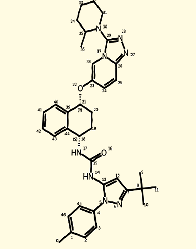 Cc1ccc(-n2nc(C(C)(C)C)cc2NC(=O)N[C@H]2CC[C@@H](Oc3ccc4nnc(N5CCCCC5C)n4c3)c3ccccc32)cc1